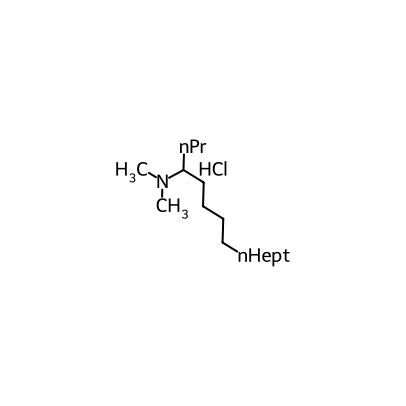 CCCCCCCCCCCC(CCC)N(C)C.Cl